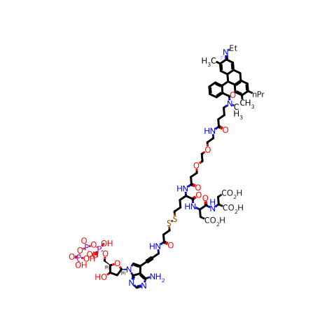 CCCc1cc2c(cc1C)C(c1ccccc1C(=O)N(C)CCCC(=O)NCCOCCOCCC(=O)NC(CCCSSCCC(=O)NCC#Cc1cn([C@H]3CC(O)[C@@H](COP(=O)(O)OP(=O)(O)OP(=O)(O)O)O3)c3ncnc(N)c13)C(=O)NC(CC(=O)O)C(=O)NC(CC(=O)O)C(=O)O)C1C=C(C)/C(=N/CC)C=C1C2